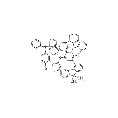 CC1(C)c2ccccc2-c2c(-c3cc(N(c4ccccc4)c4cccc5sc6ccc(N(c7ccccc7)c7ccccc7)cc6c45)cc4c3Oc3ccccc3C43c4ccccc4-c4ccccc43)cccc21